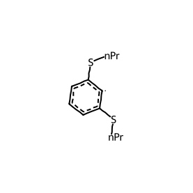 CCCSc1[c]c(SCCC)ccc1